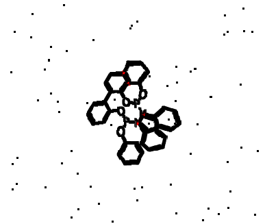 c1ccc(OP(Oc2ccccc2-c2ccccc2OP(Oc2ccccc2)n2ccc3ccccc32)n2ccc3ccccc32)cc1